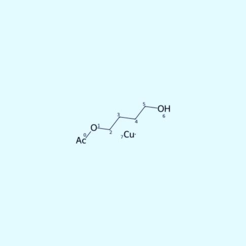 CC(=O)OCCCCO.[Cu]